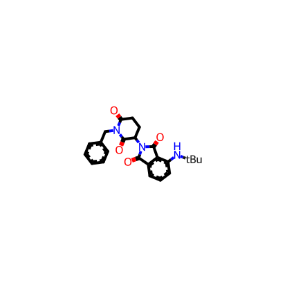 CC(C)(C)Nc1cccc2c1C(=O)N(C1CCC(=O)N(Cc3ccccc3)C1=O)C2=O